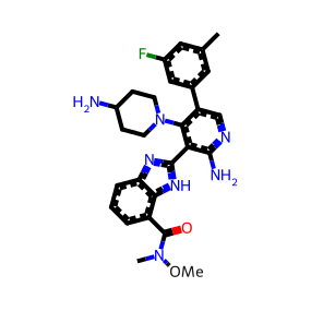 CON(C)C(=O)c1cccc2nc(-c3c(N)ncc(-c4cc(C)cc(F)c4)c3N3CCC(N)CC3)[nH]c12